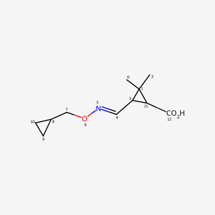 CC1(C)C(/C=N/OCC2CC2)C1C(=O)O